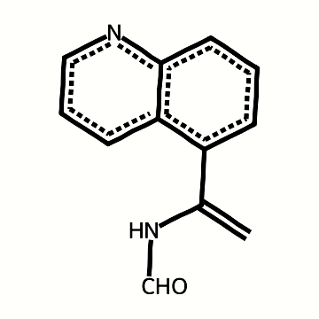 C=C(NC=O)c1cccc2ncccc12